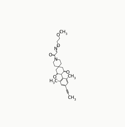 CC#Cc1cc(C)c(C2C(=O)CC3(CCN(C(=O)/C=N/OCCOC)CC3)CC2=O)c(C)c1